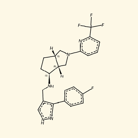 Fc1ccc(-c2n[nH]cc2CN[C@H]2CC[C@@H]3CN(c4cccc(C(F)(F)F)n4)C[C@@H]32)cc1